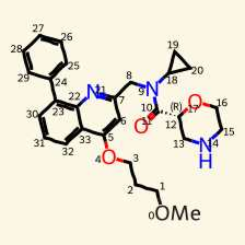 COCCCOc1cc(CN(C(=O)[C@H]2CNCCO2)C2CC2)nc2c(-c3ccccc3)cccc12